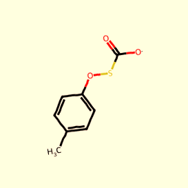 Cc1ccc(OSC([O])=O)cc1